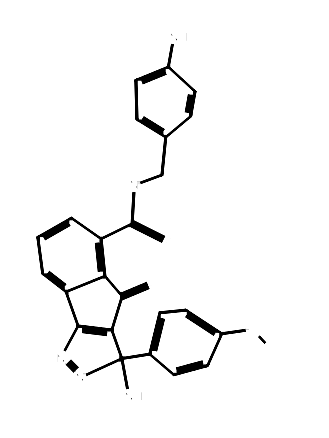 COc1ccc(C2(N)N=NC3=C2C(=O)c2c(C(=O)NCc4ccc(N)cc4)cccc23)cc1